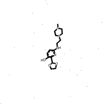 CN1CCN(CCNc2ccc(O)c(C3OCCO3)n2)CC1